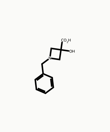 O=C(O)C1(O)CN(Cc2ccccc2)C1